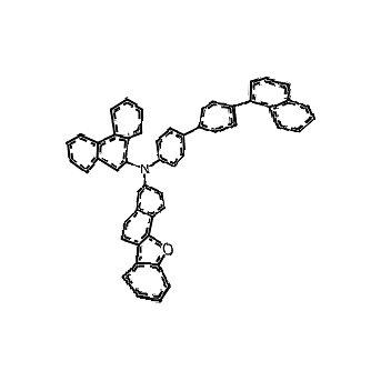 c1ccc2c(-c3ccc(-c4ccc(N(c5ccc6c(ccc7c8ccccc8oc67)c5)c5cc6ccccc6c6ccccc56)cc4)cc3)cccc2c1